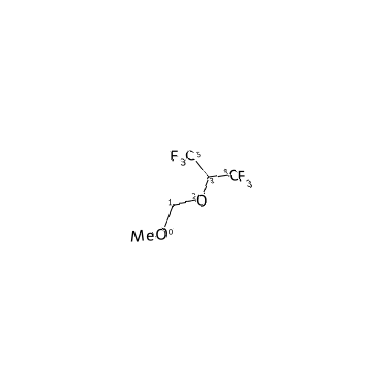 COCOC(C(F)(F)F)C(F)(F)F